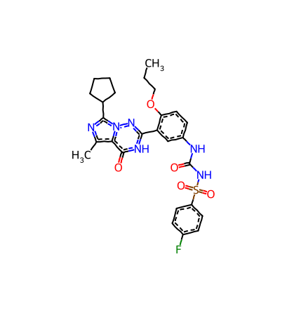 CCCOc1ccc(NC(=O)NS(=O)(=O)c2ccc(F)cc2)cc1-c1nn2c(C3CCCC3)nc(C)c2c(=O)[nH]1